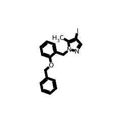 Cc1c(I)cnn1Cc1ccccc1OCc1ccccc1